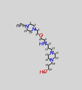 CCCN1CCN(CCOCCNCCCN2CCN(CCCO)CC2)CC1